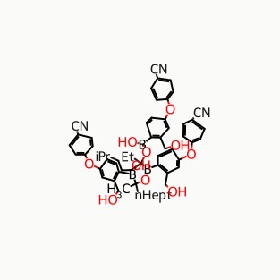 CCCCCCCC(C)(OB(c1ccc(Oc2ccc(C#N)cc2)cc1CO)C(CC)(CCCC(C)C)OB(O)c1ccc(Oc2ccc(C#N)cc2)cc1CO)B(O)c1ccc(Oc2ccc(C#N)cc2)cc1CO